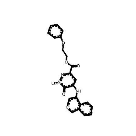 CCn1nc(C(=O)OCCOc2ccccc2)cc(Nc2cncc3ccccc23)c1=O